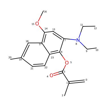 C=C(C)C(=O)Oc1c(N(CC)CC)cc(OC)c2cc(C)ccc12